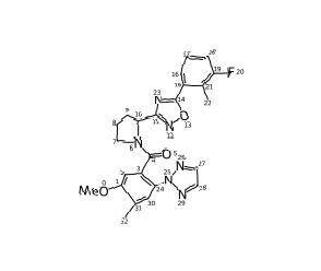 COc1cc(C(=O)N2CCCC2c2noc(-c3cccc(F)c3C)n2)c(-n2nccn2)cc1C